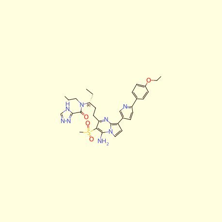 CCCN(C(=O)c1nnc[nH]1)[C@H](CC)CCc1nc2c(-c3ccc(-c4ccc(OCC)cc4)nc3)ccn2c(N)c1S(C)(=O)=O